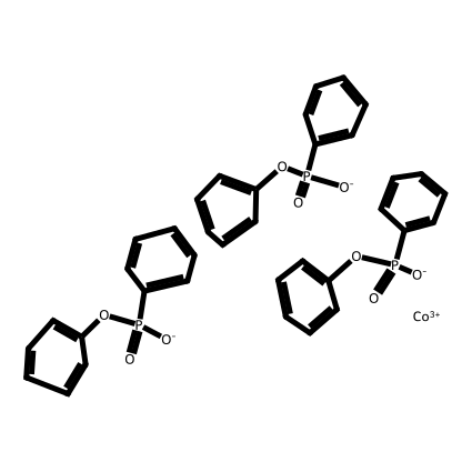 O=P([O-])(Oc1ccccc1)c1ccccc1.O=P([O-])(Oc1ccccc1)c1ccccc1.O=P([O-])(Oc1ccccc1)c1ccccc1.[Co+3]